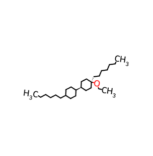 CCCCCCC[C@]1(OCC)CC[C@@H](C2CCC(CCCCCC)CC2)CC1